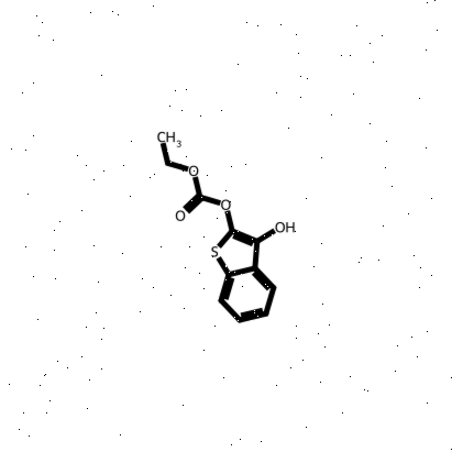 CCOC(=O)Oc1sc2ccccc2c1O